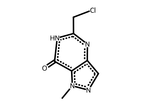 Cn1ncc2nc(CCl)[nH]c(=O)c21